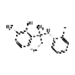 CCC(C)(Pc1ccccc1F)c1cccc(C)c1O